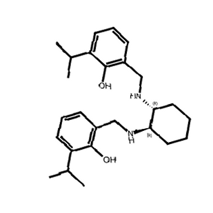 CC(C)c1cccc(CN[C@@H]2CCCC[C@H]2NCc2cccc(C(C)C)c2O)c1O